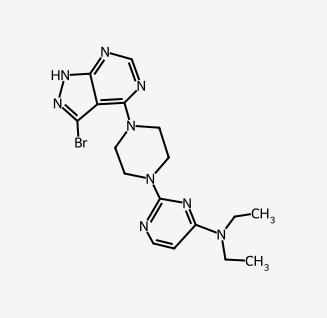 CCN(CC)c1ccnc(N2CCN(c3ncnc4[nH]nc(Br)c34)CC2)n1